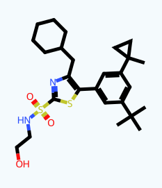 CC(C)(C)c1cc(-c2sc(S(=O)(=O)NCCO)nc2CC2CCCCC2)cc(C2(C)CC2)c1